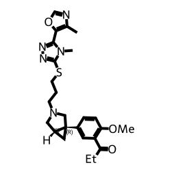 CCC(=O)c1cc([C@@]23C[C@@H]2CN(CCCSc2nnc(-c4ocnc4C)n2C)C3)ccc1OC